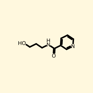 O=C(NCCCO)c1cccnc1